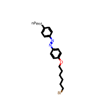 CCCCCc1ccc(/N=N/c2ccc(OCCCCCCBr)cc2)cc1